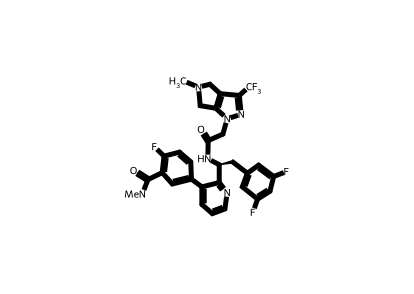 CNC(=O)c1cc(-c2cccnc2[C@H](Cc2cc(F)cc(F)c2)NC(=O)Cn2nc(C(F)(F)F)c3c2CN(C)C3)ccc1F